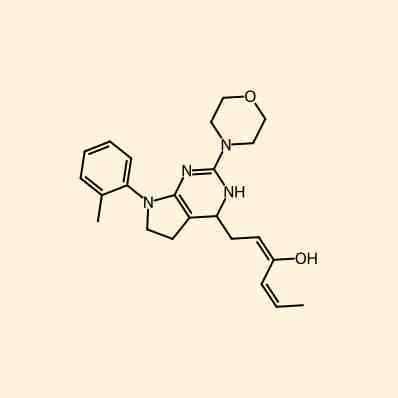 C/C=C\C(O)=C/CC1NC(N2CCOCC2)=NC2=C1CCN2c1ccccc1C